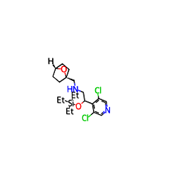 CC[Si](CC)(CC)OC(CNC[C@]12CC[C@H](CC1)O2)c1c(Cl)cncc1Cl